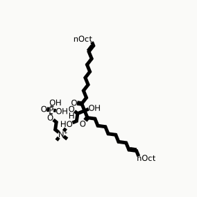 CCCCCCCCC=CCCCCCCCC(=O)C(O)(C(=O)CCCCCCCC=CCCCCCCCC)C(O)CO.C[N+](C)(C)CCOP(=O)(O)O